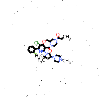 C=CC(=O)N1CCN2C(=O)c3c(N4CC(N5CCN(C)CC5)C[C@@]4(C)C(F)(F)F)nc(-c4ccccc4F)c(Cl)c3OCC2C1